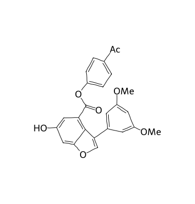 COc1cc(OC)cc(-c2coc3cc(O)cc(C(=O)Oc4ccc(C(C)=O)cc4)c23)c1